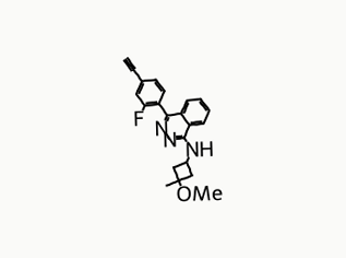 C#Cc1ccc(-c2nnc(NC3CC(C)(OC)C3)c3ccccc23)c(F)c1